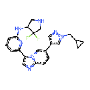 FC1(F)CNCC1Nc1cccc(-c2cnc3ccc(-c4cnn(CC5CC5)c4)cn23)n1